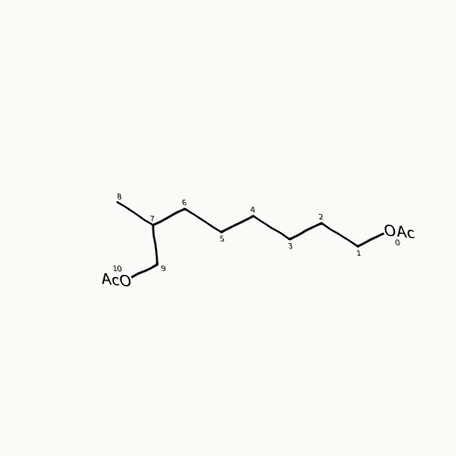 CC(=O)OCCCCCCC(C)COC(C)=O